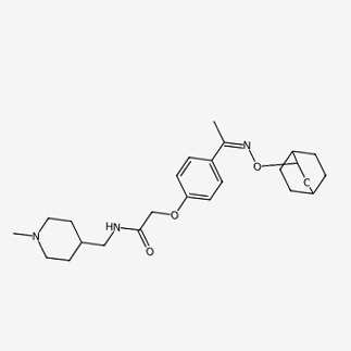 CC(=NOC1CC2CCC1CC2)c1ccc(OCC(=O)NCC2CCN(C)CC2)cc1